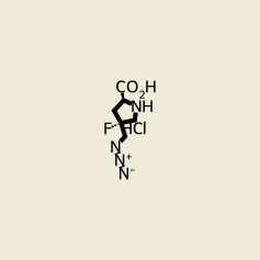 Cl.[N-]=[N+]=NC[C@]1(F)CN[C@H](C(=O)O)C1